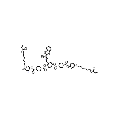 C=CC(=O)OCCCCCCOC(=C)/C=C\C(=C)OC(=O)[C@H]1CC[C@H](C(=O)Oc2ccc(OC(=O)[C@H]3CC[C@H](C(=O)Oc4ccc(OCCCCCCOC(=O)C=C)cc4)CC3)cc2/C=N/N(CC)c2nc3ccccc3s2)CC1